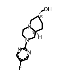 OC[C@@H]1CC[C@H]2CN(c3ncc(F)cn3)CCN2C1